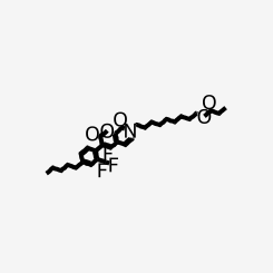 CCCCCc1ccc(-c2cc3ccn(CCCCCCCCCOC(=O)CC)c(=O)c3oc2=O)c(C(F)(F)F)c1